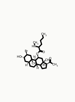 CCCCC(NC)C(=O)O[C@H]1C[C@]2(C)[C@@H](C(C)=O)CC[C@H]2[C@@H]2CC[C@H]3C[C@H](O)[C@@H](Br)C[C@]3(C)[C@H]21